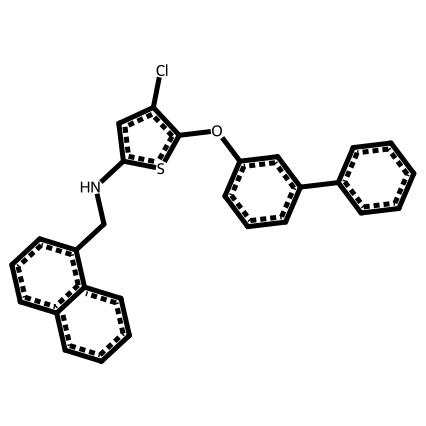 Clc1cc(NCc2cccc3ccccc23)sc1Oc1cccc(-c2ccccc2)c1